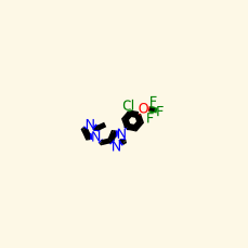 Cc1nccn1Cc1cn(-c2ccc(OC(F)(F)F)c(Cl)c2)cn1